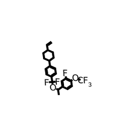 C=CC1CCC(c2ccc(C(F)(F)OC(C)c3ccc(OC(F)(F)F)c(F)c3)cc2)CC1